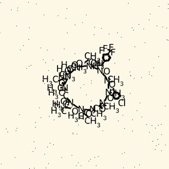 CC[C@H](C)[C@@H]1NC(=O)[C@H](CC(C)C)N(C)C(=O)C[C@@H](C)N(C)C(=O)[C@H]([C@@H](C)CC)NC(=O)C(C)(C)N(C)C(=O)[C@H](CC(C)C)NC(=O)[C@H](CCc2ccc(C(F)(F)F)c(F)c2)NC(=O)CN(C)C(=O)[C@H](Cc2ccc(Cl)cc2)N(C)C(=O)CN(C)C(=O)CN(C)C1=O